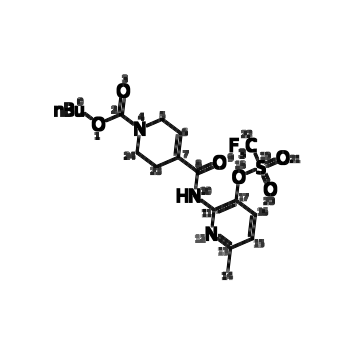 CCCCOC(=O)N1CC=C(C(=O)Nc2nc(C)ccc2OS(=O)(=O)C(F)(F)F)CC1